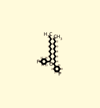 CCCCCCCCCCCC(OC(CCCCCCCCCCC)c1ccc(F)cc1)c1ccc(F)cc1